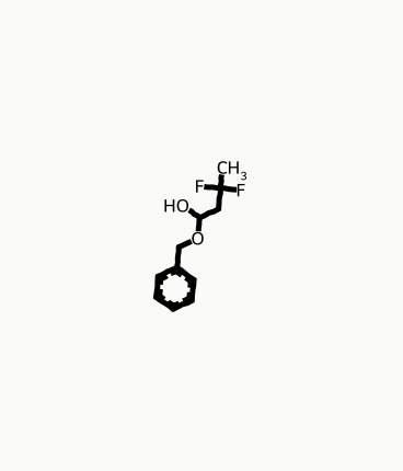 CC(F)(F)CC(O)OCc1ccccc1